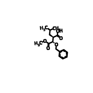 COC(=O)[C@@H](OCc1ccccc1)[C@@H](CC(C)C)C(=O)O